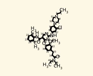 CCCN1CCN(c2ccc(Nc3ncc(C(=O)Nc4c(C)cccc4C)c(Oc4ccc(CCC(=O)N(CC)CC)cc4OC)n3)cc2Cl)CC1